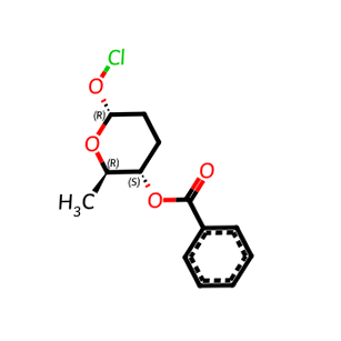 C[C@H]1O[C@H](OCl)CC[C@@H]1OC(=O)c1ccccc1